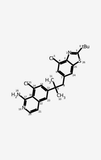 CC(C)(C)c1nc2c(Cl)cc(CC(C)(C)c3cc(Cl)c4c(N)nccc4c3)cc2s1